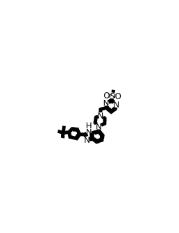 CC(C)(C)C1C=CC(c2nc3cccc(N4CCN(Cc5ccnc(S(C)(=O)=O)n5)CC4)c3[nH]2)=CC1